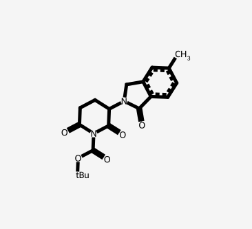 Cc1ccc2c(c1)CN(C1CCC(=O)N(C(=O)OC(C)(C)C)C1=O)C2=O